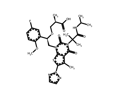 COc1ccc(F)cc1[C@H](Cn1c(=O)n(C(C)(C)C(=O)NC(C)C)c(=O)c2c(C)c(-n3nccn3)sc21)OC[C@@H](C)C(=O)O